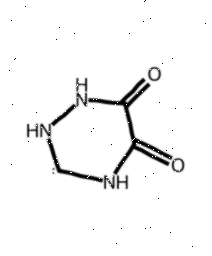 O=C1N[C]NNC1=O